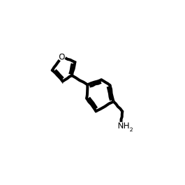 NCc1ccc(-c2[c]coc2)cc1